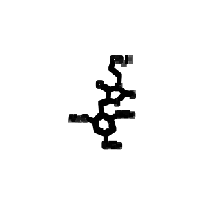 COc1cc(OC)c(C=C2SC(=S)N(CCC(=O)O)C2=O)c(OC)c1